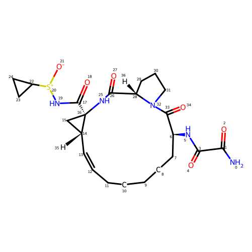 NC(=O)C(=O)N[C@H]1CCCCC/C=C\[C@@H]2C[C@@]2(C(=O)N[S+]([O-])C2CC2)NC(=O)[C@@H]2CCCN2C1=O